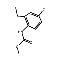 CCc1cc(Cl)ccc1NC(=O)OC